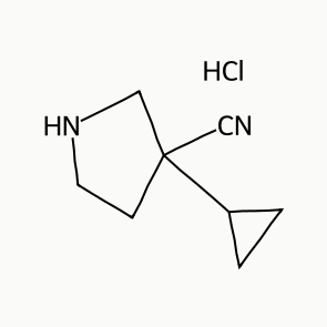 Cl.N#CC1(C2CC2)CCNC1